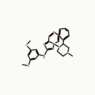 COc1cc(NC2=N[N+]3(N4CCN(C)CC4c4ccccc4)C=CN=CC3=N2)cc(OC)c1